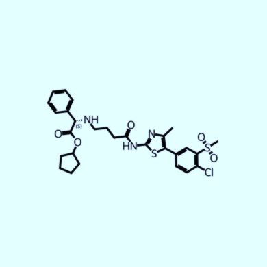 Cc1nc(NC(=O)CCCN[C@H](C(=O)OC2CCCC2)c2ccccc2)sc1-c1ccc(Cl)c(S(C)(=O)=O)c1